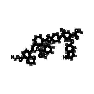 COc1ccc(CCC2=CCCN(C3CC4(CCN(c5cc(Oc6cnc7[nH]ccc7c6)c(C(C)=O)cc5F)CC4)C3)[C@H](c3ccccc3C(C)C)C2)c2c1OCCO2